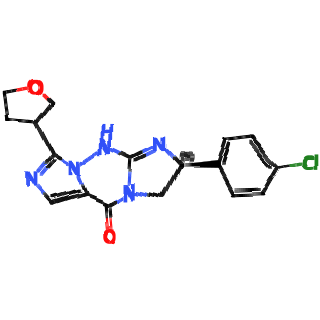 O=C1c2cnc(C3CCOC3)n2NC2=N[C@@H](c3ccc(Cl)cc3)CN12